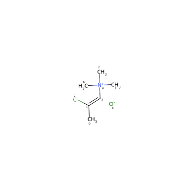 CC(Cl)=C[N+](C)(C)C.[Cl-]